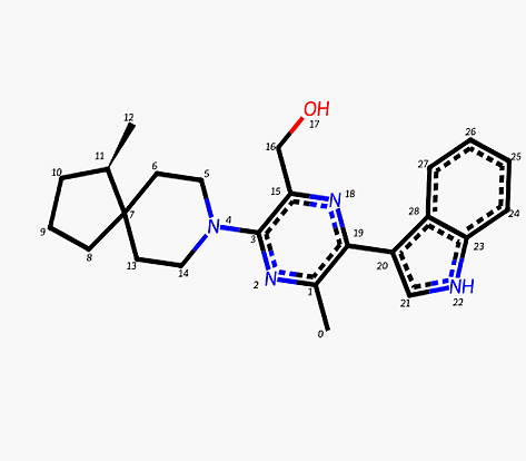 Cc1nc(N2CCC3(CCC[C@H]3C)CC2)c(CO)nc1-c1c[nH]c2ccccc12